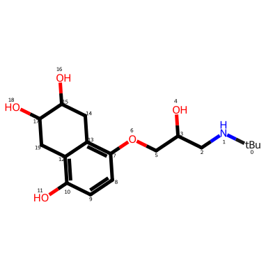 CC(C)(C)NCC(O)COc1ccc(O)c2c1CC(O)C(O)C2